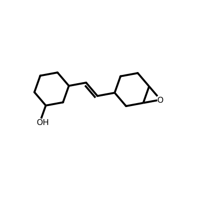 OC1CCCC(/C=C/C2CCC3OC3C2)C1